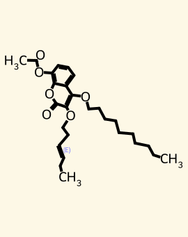 CC/C=C/CCOc1c(OCCCCCCCCCC)c2cccc(OC(C)=O)c2oc1=O